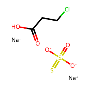 O=C(O)CCCl.O=S([O-])([O-])=S.[Na+].[Na+]